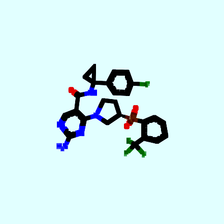 Nc1ncc(C(=O)NC2(c3ccc(F)cc3)CC2)c(N2CC[C@H](S(=O)(=O)c3ccccc3C(F)(F)F)C2)n1